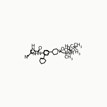 CC(C)(CC(=O)N1CCC(c2ccc(NC(=O)c3nc(C#N)c[nH]3)c(C3=CCCCC3)c2)CC1)NC(=O)OC(C)(C)C